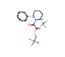 O=C(OCC(F)(F)F)C(=O)N1[C@H](c2ccccc2)CCC[C@@H]1C(F)(F)F